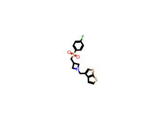 O=S(=O)(CC1CN(Cc2csc3sccc23)C1)c1ccc(F)cc1